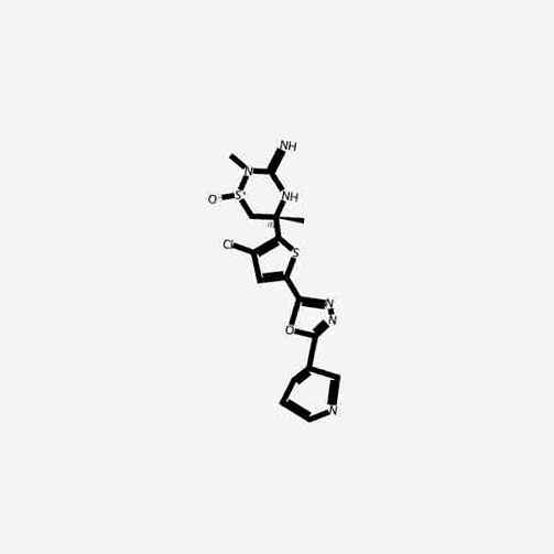 CN1C(=N)N[C@](C)(c2sc(-c3nnc(-c4cccnc4)o3)cc2Cl)C[S+]1[O-]